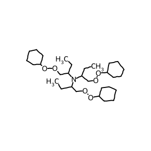 CCC(COOC1CCCCC1)N(C(CC)COOC1CCCCC1)C(CC)COOC1CCCCC1